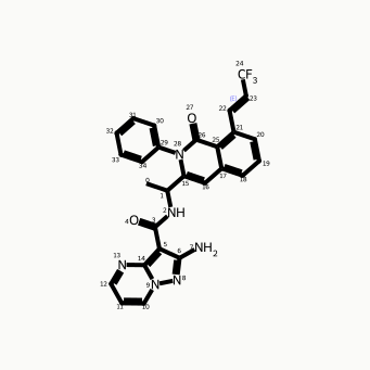 CC(NC(=O)c1c(N)nn2cccnc12)c1cc2cccc(/C=C/C(F)(F)F)c2c(=O)n1-c1ccccc1